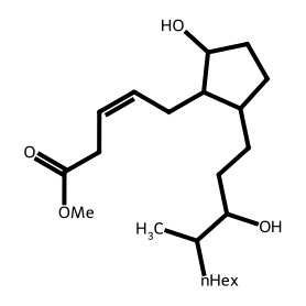 CCCCCCC(C)C(O)CCC1CCC(O)C1C/C=C\CC(=O)OC